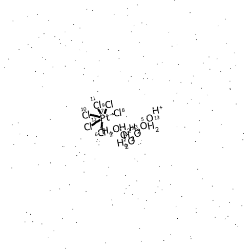 O.O.O.O.O.O.[Cl][Pt-]([Cl])([Cl])([Cl])([Cl])[Cl].[H+]